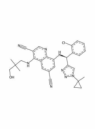 CC(C)(CO)CNc1c(C#N)cnc2c(N[C@H](c3cn(C4(C)CC4)nn3)c3ccccc3Cl)cc(C#N)cc12